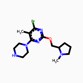 Cc1c(Br)nc(OCC2CCCN2C)nc1N1CCNCC1